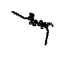 CCCCCCCCCCCC#Cc1cc(N)c2nc3c4cccc5c(-c6ccc7c8c6cccc8c(=O)n6c8cc(C#CCCCCCCCCCCC)cc([N+](=O)[O-])c8nc76)ccc(c(=O)n3c2c1)c54